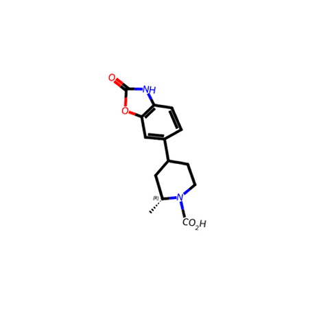 C[C@@H]1CC(c2ccc3[nH]c(=O)oc3c2)CCN1C(=O)O